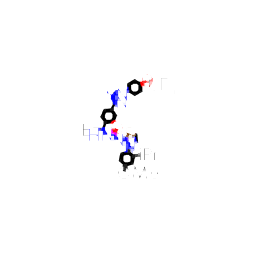 CCC(NC(=O)/N=C1\SCCN1c1ccc(OC)cc1C(C)C)c1ccc(-c2ncn(-c3ccc(OC(F)(F)F)cc3)n2)cc1